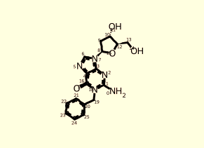 Nc1nc2c(ncn2[C@H]2C[C@H](O)[C@@H](CO)O2)c(=O)n1Cc1ccccc1